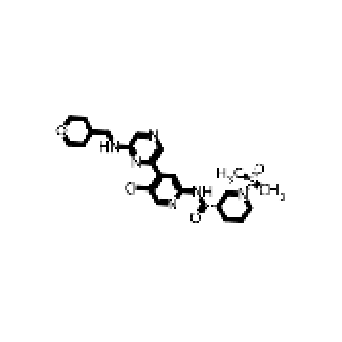 C=S(C)(=O)N1CCC[C@H](C(=O)Nc2cc(-c3cncc(NCC4CCOCC4)n3)c(Cl)cn2)C1